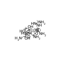 CC(N)C(=N)NC[C@@H]1CCC(N)[C@@H](OC2C(O)C(O[C@H]3OCC(C)(O)[C@H](C)C3O)[C@H](NC(=O)[C@@H](O)[C@@H](O)CCN)C[C@@H]2N)O1